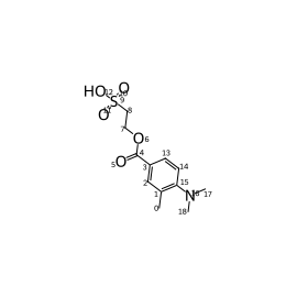 Cc1cc(C(=O)OCCS(=O)(=O)O)ccc1N(C)C